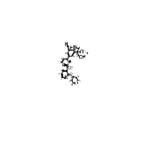 C[C@]1(CO)CNc2c(C#N)cc(-c3ccnc(Nc4cccnc4OC4CCOCC4)n3)cc21